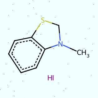 CN1CSc2ccccc21.I